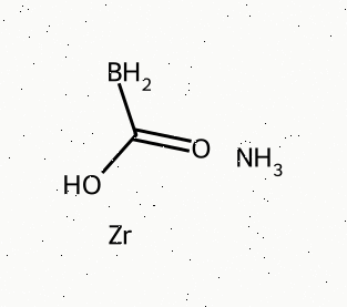 BC(=O)O.N.[Zr]